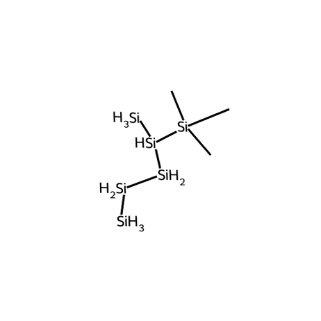 C[Si](C)(C)[SiH]([SiH3])[SiH2][SiH2][SiH3]